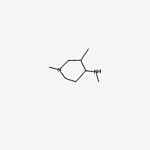 CNC1CCN(C)CC1C